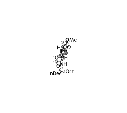 CCCCCCCCCCC(CCCCCCCC)CCC(=O)NC1CC(C)(C)CC2(BN(C(=O)Pc3nc(=O)c(CCOC)c(C)[nH]3)C2)C1